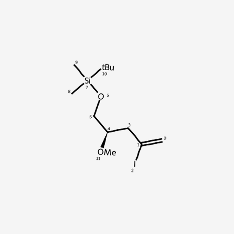 C=C(I)C[C@H](CO[Si](C)(C)C(C)(C)C)OC